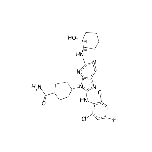 NC(=O)C1CCC(n2c(Nc3c(Cl)cc(F)cc3Cl)nc3cnc(N[C@@H]4CCCC[C@H]4O)nc32)CC1